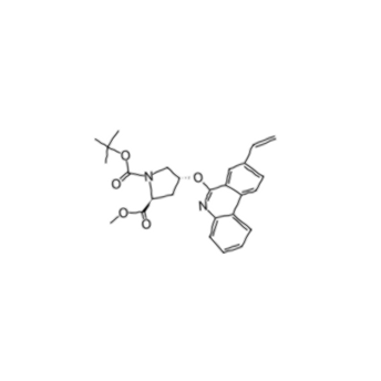 C=Cc1ccc2c(c1)c(O[C@@H]1C[C@@H](C(=O)OC)N(C(=O)OC(C)(C)C)C1)nc1ccccc12